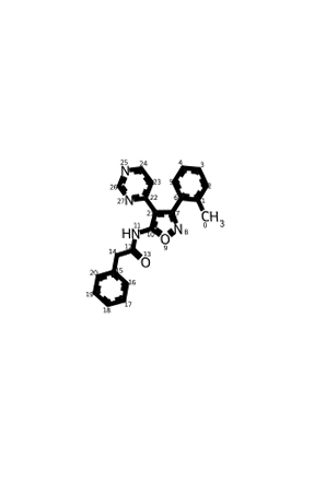 Cc1ccccc1-c1noc(NC(=O)Cc2ccccc2)c1-c1ccncn1